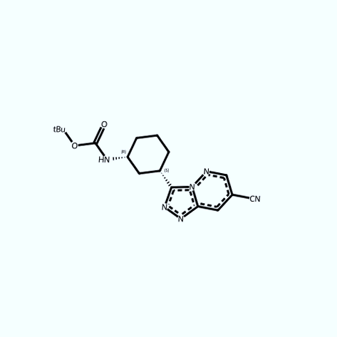 CC(C)(C)OC(=O)N[C@@H]1CCC[C@H](c2nnc3cc(C#N)cnn23)C1